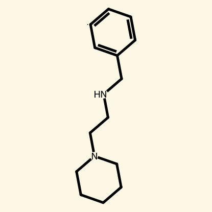 [c]1cccc(CNCCN2CCCCC2)c1